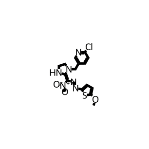 COc1ccc(/N=N/C(=C2/NCCN2Cc2ccc(Cl)nc2)[N+](=O)[O-])s1